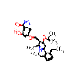 CCc1cccc(CC)c1-c1cc(OC(C)C)c(COc2ccc(C(N)=O)c(O)c2)c(C)n1